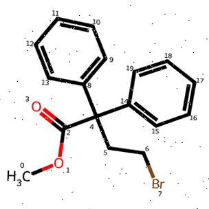 COC(=O)C(CCBr)(c1ccccc1)c1ccccc1